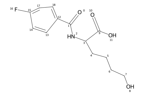 O=C(NC(CCCCO)C(=O)O)c1ccc(F)cc1